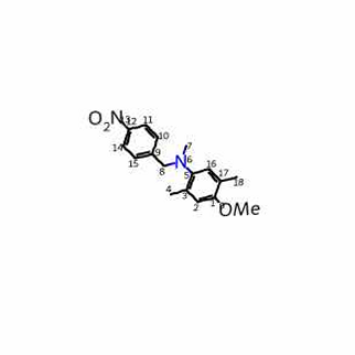 COc1cc(C)c(N(C)Cc2ccc([N+](=O)[O-])cc2)cc1C